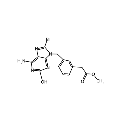 COC(=O)Cc1cccc(Cn2c(Br)nc3c(N)nc(O)nc32)c1